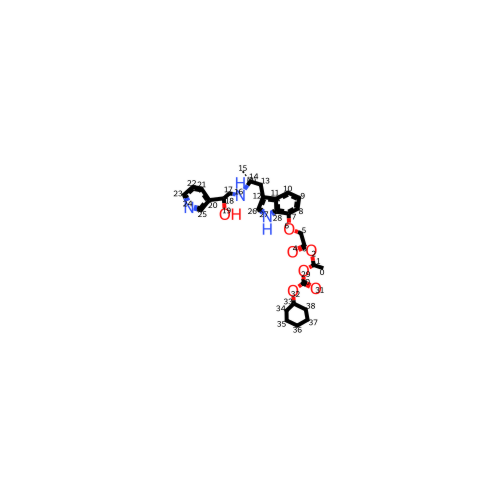 CC(OC(=O)COc1cccc2c(C[C@@H](C)NCC(O)c3cccnc3)c[nH]c12)OC(=O)OC1CCCCC1